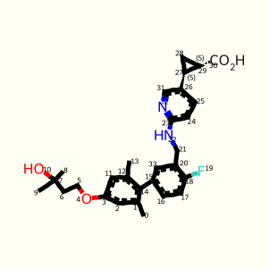 Cc1cc(OCCC(C)(C)O)cc(C)c1-c1ccc(F)c(CNc2ccc([C@H]3C[C@@H]3C(=O)O)cn2)c1